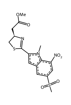 COC(=O)C[C@@H]1CSC(c2cc3cc(S(C)(=O)=O)cc([N+](=O)[O-])c3n2C)=N1